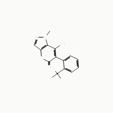 Cn1ncc2oc(=O)c(-c3ccccc3C(F)(F)F)c(O)c21